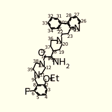 CCOc1cccc(F)c1CN1CCN(C(=O)[C@H](N)C2CCN(CCc3ncccc3-c3ccccc3)CC2)CC1